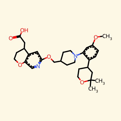 COc1ccc(C2CCOC(C)(C)C2)c(N2CCC(COc3cc4c(cn3)OCCC4CC(=O)O)CC2)c1